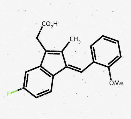 COc1ccccc1/C=C1\C(C)=C(CC(=O)O)c2cc(F)ccc21